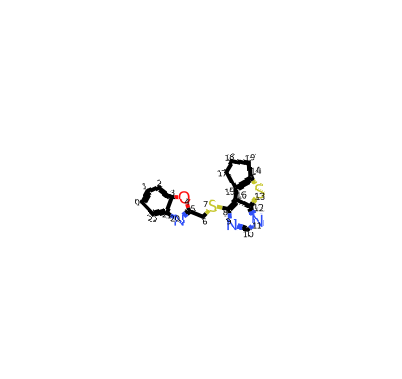 c1ccc2oc(CSc3ncnc4sc5c(c34)CCC5)nc2c1